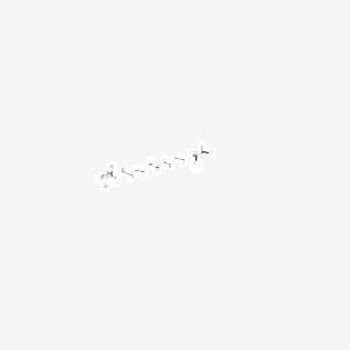 C=C(C)C(=O)OCCCCCCCCCCC[N+](C)(C)C